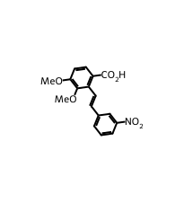 COc1ccc(C(=O)O)c(C=Cc2cccc([N+](=O)[O-])c2)c1OC